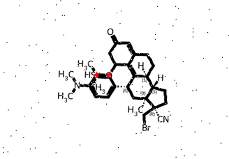 CN(C)c1ccc([C@H]2C[C@@]3(C)[C@@H](CC[C@@]3(C#N)CBr)[C@@H]3CCC4=CC(=O)CC(O[SiH](C)C)C4=C32)cc1